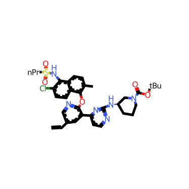 C=Cc1cnc(Oc2c(C)ccc3c(NS(=O)(=O)CCC)c(Cl)ccc23)c(-c2ccnc(N[C@H]3CCCN(C(=O)OC(C)(C)C)C3)n2)c1